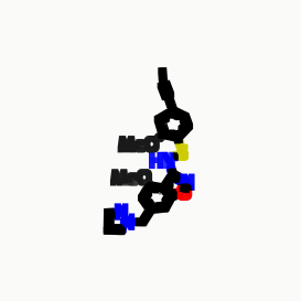 CC#Cc1ccc(SNc2noc3cc(Cn4cccn4)cc(OC)c23)c(OC)c1